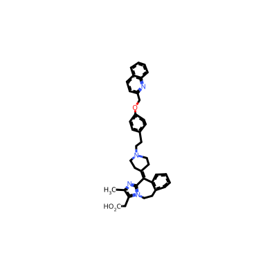 Cc1nc2n(c1CC(=O)O)CCc1ccccc1C2=C1CCN(CCc2ccc(OCc3ccc4ccccc4n3)cc2)CC1